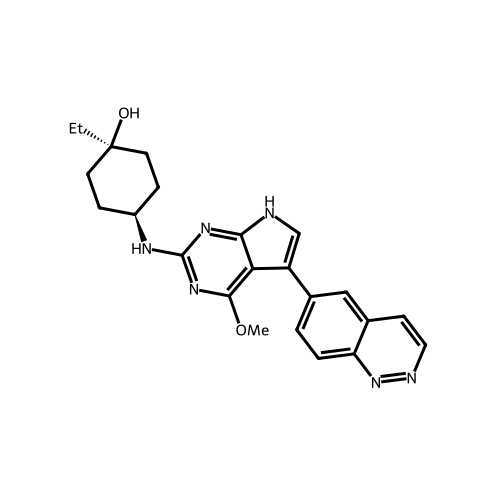 CC[C@]1(O)CC[C@@H](Nc2nc(OC)c3c(-c4ccc5nnccc5c4)c[nH]c3n2)CC1